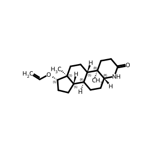 C=CO[C@H]1CC[C@H]2[C@@H]3CC[C@H]4NC(=O)CC[C@]4(C)[C@H]3CC[C@]12C